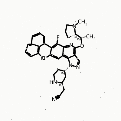 C[C@H](Oc1nc2c(F)c(-c3cccc4cccc(Cl)c34)c(Cl)cc2c2c1cnn2[C@H]1CCN[C@H](CC#N)C1)[C@@H]1CCCN1C